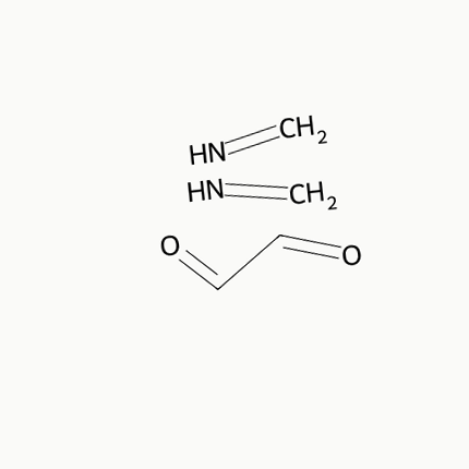 C=N.C=N.O=CC=O